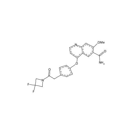 COc1cc2nccc(Oc3ccc(CC(=O)N4CC(F)(F)C4)cc3)c2cc1C(N)=O